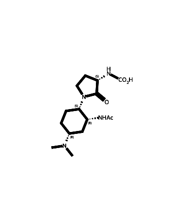 CC(=O)N[C@@H]1C[C@H](N(C)C)CC[C@@H]1N1CC[C@H](NC(=O)O)C1=O